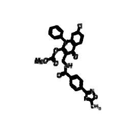 COC(=O)Oc1c(CNC(=O)c2ccc(-c3noc(C)n3)cc2)c(=O)c2ccc(Cl)cc2n1-c1ccccc1